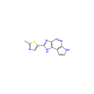 Cc1ncc(-c2nc3cnc4[nH]ccc4c3[nH]2)s1